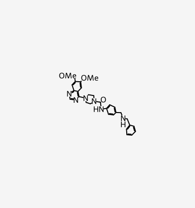 COc1cc2ncnc(N3CCN(C(=O)Nc4ccc(CNCc5ccccc5)cc4)CC3)c2cc1OC